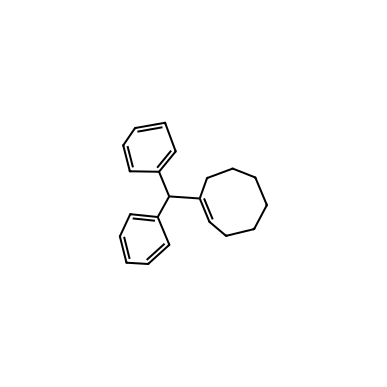 C1=C(C(c2ccccc2)c2ccccc2)CCCCCC1